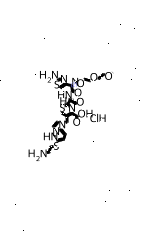 COCCOCCO/N=C(\C(=O)N[C@@H]1C(=O)N2C(C(=O)O)=C(CN3C=CN4NC(SCCN)=CC=C34)CS[C@@H]12)c1csc(N)n1.Cl